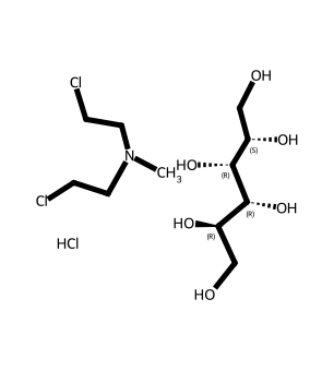 CN(CCCl)CCCl.Cl.OC[C@@H](O)[C@@H](O)[C@H](O)[C@@H](O)CO